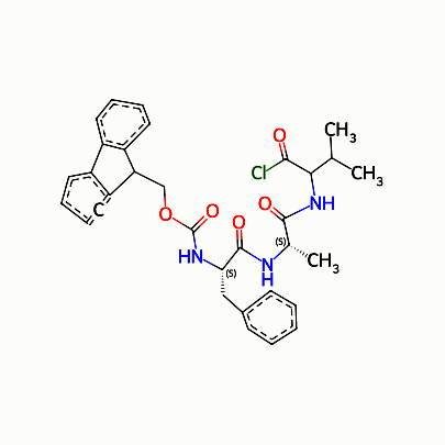 CC(C)C(NC(=O)[C@H](C)NC(=O)[C@H](Cc1ccccc1)NC(=O)OCC1c2ccccc2-c2ccccc21)C(=O)Cl